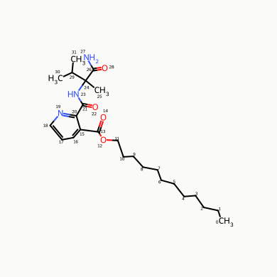 CCCCCCCCCCCCOC(=O)c1cccnc1C(=O)NC(C)(C(N)=O)C(C)C